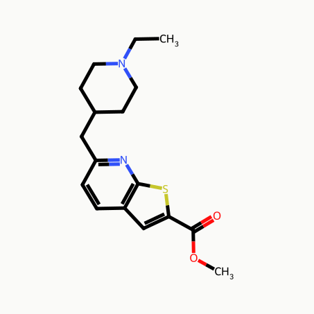 CCN1CCC(Cc2ccc3cc(C(=O)OC)sc3n2)CC1